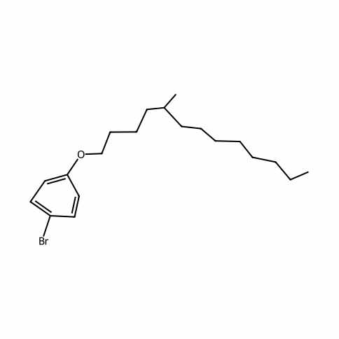 CCCCCCCCC(C)CCCCOc1ccc(Br)cc1